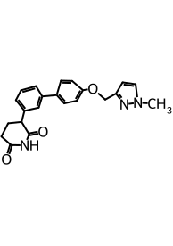 Cn1ccc(COc2ccc(-c3cccc(C4CCC(=O)NC4=O)c3)cc2)n1